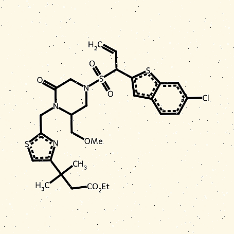 C=CC(c1cc2ccc(Cl)cc2s1)S(=O)(=O)N1CC(=O)N(Cc2nc(C(C)(C)CC(=O)OCC)cs2)C(COC)C1